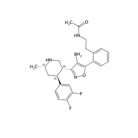 Bc1c([C@H]2CN[C@@H](C)C[C@@H]2c2ccc(F)c(F)c2)noc1-c1ccccc1CCNC(C)=O